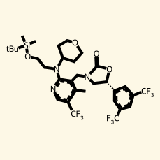 Cc1c(C(F)(F)F)cnc(N(CCO[Si](C)(C)C(C)(C)C)C2CCOCC2)c1CN1C[C@@H](c2cc(C(F)(F)F)cc(C(F)(F)F)c2)OC1=O